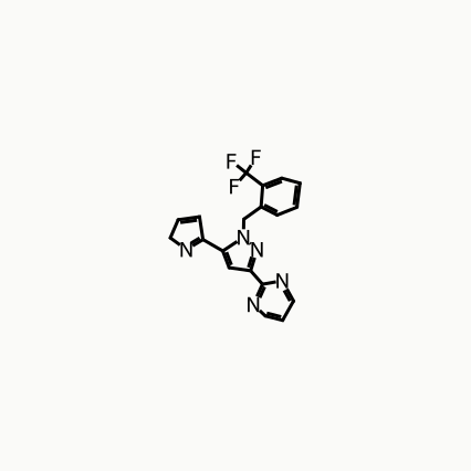 FC(F)(F)c1ccccc1Cn1nc(-c2ncccn2)cc1C1=NCC=C1